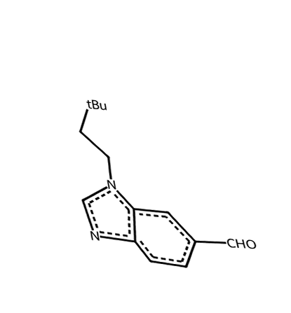 CC(C)(C)CCn1cnc2ccc(C=O)cc21